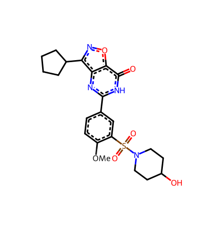 COc1ccc(-c2nc3c(C4CCCC4)noc3c(=O)[nH]2)cc1S(=O)(=O)N1CCC(O)CC1